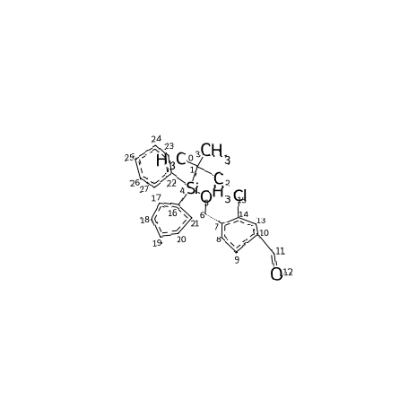 CC(C)(C)[Si](OCc1ccc(C=O)cc1Cl)(c1ccccc1)c1ccccc1